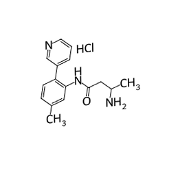 Cc1ccc(-c2cccnc2)c(NC(=O)CC(C)N)c1.Cl